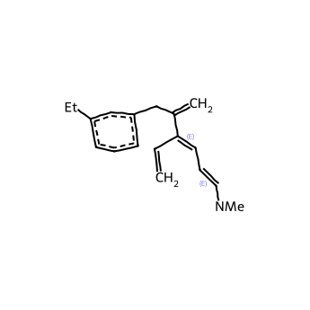 C=C/C(=C\C=C\NC)C(=C)Cc1cccc(CC)c1